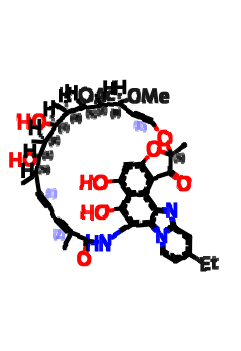 CCc1ccn2c(c1)nc1c3c4c5cc(O)c3c(O)c(c12)NC(=O)/C(C)=C\C=C\[C@H](C)[C@H](O)[C@@H](C)[C@@H](O)[C@@H](C)[C@H](OC(C)=O)[C@H](C)[C@@H](OC)/C=C/O[C@@](C)(O5)C4=O